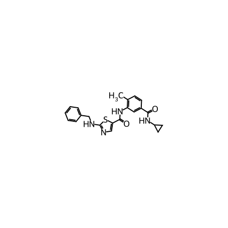 Cc1ccc(C(=O)NC2CC2)cc1NC(=O)c1cnc(NCc2ccccc2)s1